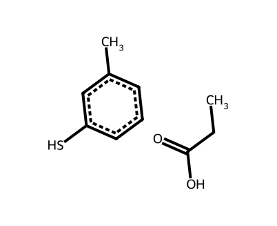 CCC(=O)O.Cc1cccc(S)c1